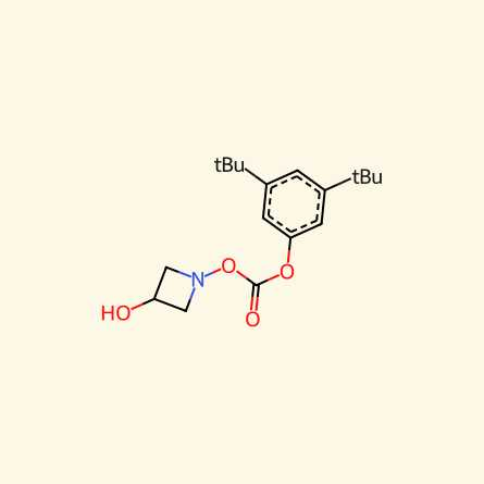 CC(C)(C)c1cc(OC(=O)ON2CC(O)C2)cc(C(C)(C)C)c1